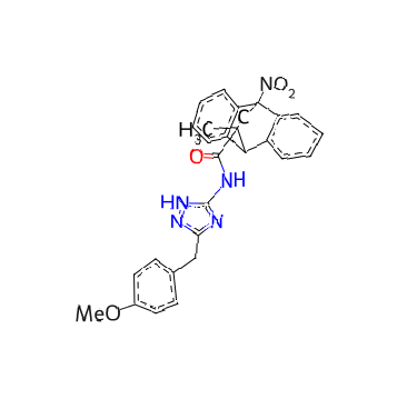 COc1ccc(Cc2n[nH]c(NC(=O)C3(C)CC4([N+](=O)[O-])c5ccccc5C3c3ccccc34)n2)cc1